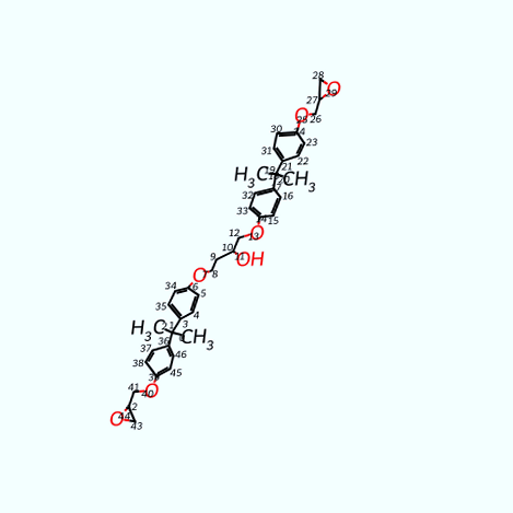 CC(C)(c1ccc(OCCC(O)COc2ccc(C(C)(C)c3ccc(OCC4CO4)cc3)cc2)cc1)c1ccc(OCC2CO2)cc1